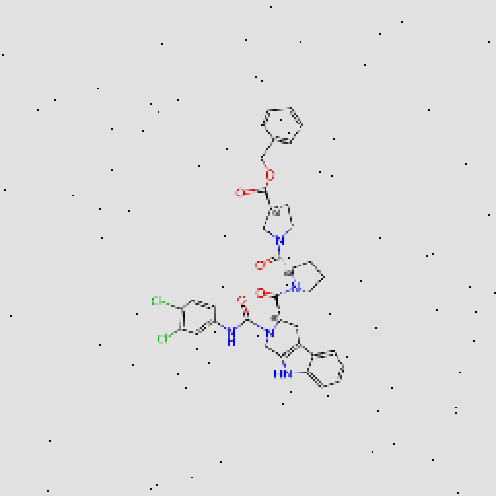 O=C(OCc1ccccc1)[C@H]1CCN(C(=O)[C@@H]2CCCN2C(=O)[C@H]2Cc3c([nH]c4ccccc34)CN2C(=O)Nc2ccc(Cl)c(Cl)c2)C1